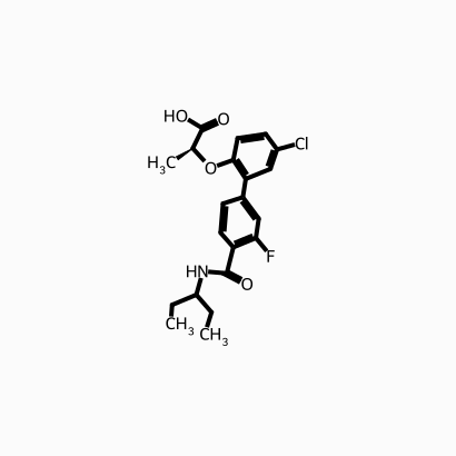 CCC(CC)NC(=O)c1ccc(-c2cc(Cl)ccc2O[C@@H](C)C(=O)O)cc1F